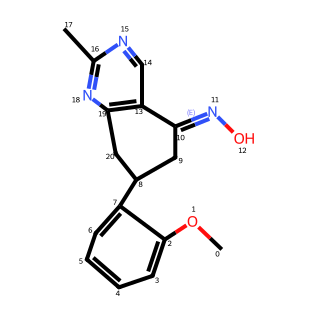 COc1ccccc1C1C/C(=N\O)c2cnc(C)nc2C1